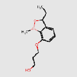 CCC1OB(C)c2c(OCCCO)cccc21